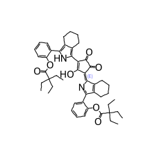 CCC(CC)(CC)C(=O)Oc1ccccc1C1=N/C(=C2/C(=O)C(=O)C(c3[nH]c(-c4ccccc4OC(=O)C(CC)(CC)CC)c4c3CCCC4)=C2O)C2=C1CCCC2